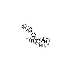 Cc1cc(-c2ccnc(Nc3nccs3)n2)ccc1OCC(C)(CC(C)C)OC(N)=O